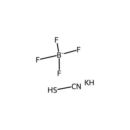 F[B-](F)(F)F.N#CS.[KH]